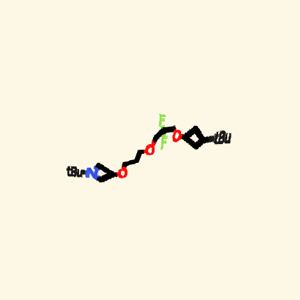 CC(C)(C)C1CC(OCC(F)(F)COCCCOC2CN(C(C)(C)C)C2)C1